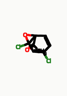 CC(=O)C12C=CC(Cl)=CC1(Cl)O2